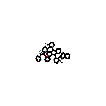 c1ccc(-c2sc3cc4oc5cccc(-c6c7ccccc7c(-c7cccc8oc9c%10ccccc%10ccc9c78)c7ccccc67)c5c4cc3c2-c2ccccc2)cc1